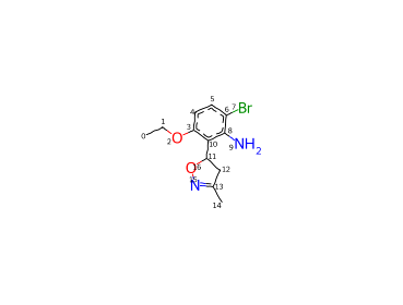 CCOc1ccc(Br)c(N)c1C1CC(C)=NO1